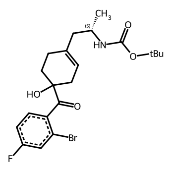 C[C@@H](CC1=CCC(O)(C(=O)c2ccc(F)cc2Br)CC1)NC(=O)OC(C)(C)C